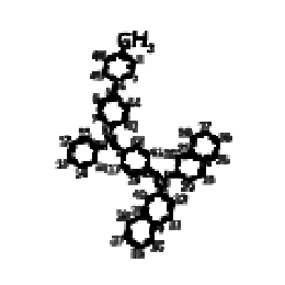 Cc1ccc(-c2ccc(N(c3ccccc3)c3ccc(N(c4ccc5ccccc5c4)c4ccc5ccccc5c4)cc3)cc2)cc1